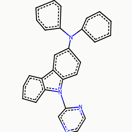 c1ccc(N(c2ccccc2)c2ccc3c(c2)c2ccccc2n3-c2cnccn2)cc1